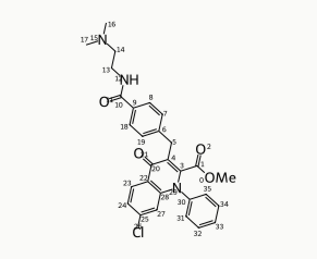 COC(=O)c1c(Cc2ccc(C(=O)NCCN(C)C)cc2)c(=O)c2ccc(Cl)cc2n1-c1ccccc1